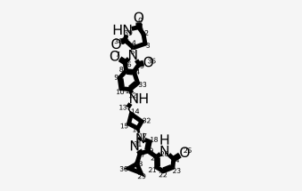 O=C1CCC(N2C(=O)c3ccc(NC[C@H]4C[C@H](n5cc(-c6cccc(=O)[nH]6)c(C6CC6)n5)C4)cc3C2=O)C(=O)N1